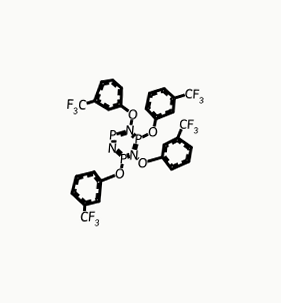 FC(F)(F)c1cccc(On2pnp(Oc3cccc(C(F)(F)F)c3)n(Oc3cccc(C(F)(F)F)c3)p2Oc2cccc(C(F)(F)F)c2)c1